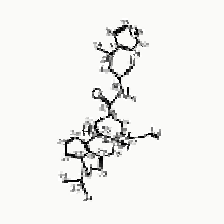 C=CCN1C[C@H](C(=O)N(C)C(C)CC(C)c2ccncc2)C[C@@H]2c3cccc4c3c(cn4C(C)C)C[C@H]21